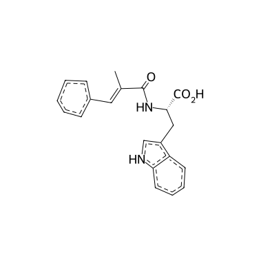 CC(=Cc1ccccc1)C(=O)N[C@@H](Cc1c[nH]c2ccccc12)C(=O)O